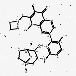 Cc1c(CN2CCC2)n(C(C)C)c2cc(-c3nc(N[C@@H]4C[C@H]5CO[C@H](O5)[C@H]4O)ncc3F)ccc2c1=O